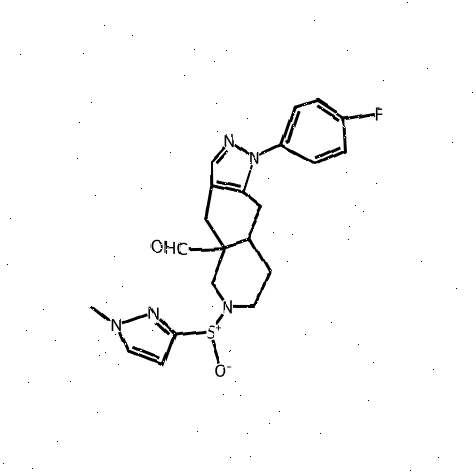 Cn1ccc([S+]([O-])N2CCC3Cc4c(cnn4-c4ccc(F)cc4)CC3(C=O)C2)n1